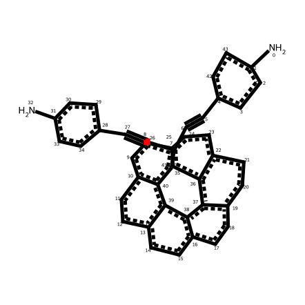 Nc1ccc(C#Cc2ccc3ccc4ccc5ccc6ccc7ccc(C#Cc8ccc(N)cc8)cc7c6c5c4c3c2)cc1